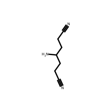 N#CCCC(N)CCC#N